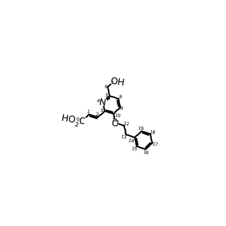 O=C(O)C=Cc1nc(CO)ccc1OCCc1ccccc1